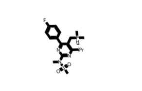 CC(C)c1nc(N(C)S(C)(=O)=O)nc(-c2ccc(F)cc2)c1C[PH](C)(C)C